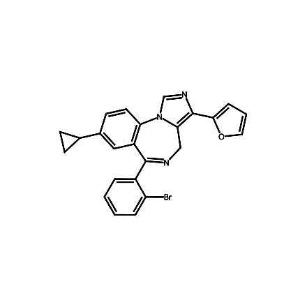 Brc1ccccc1C1=NCc2c(-c3ccco3)ncn2-c2ccc(C3CC3)cc21